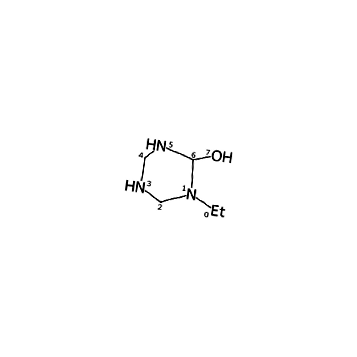 CCN1CNCNC1O